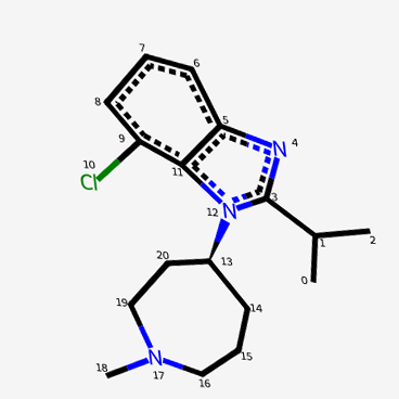 CC(C)c1nc2cccc(Cl)c2n1[C@H]1CCCN(C)CC1